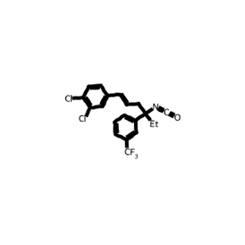 CCC(CC=Cc1ccc(Cl)c(Cl)c1)(N=C=O)c1cccc(C(F)(F)F)c1